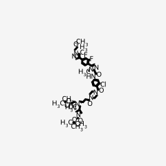 COCCn1ncc(-c2ccc(-c3cnc(C(=O)Nc4ccc(C(=O)N5CCN(C(=O)CCC[N+](C)(CC(=O)OC(C)(C)C)CC6CN(C(=O)OC(C)(C)C)C6)CC5)c(Cl)c4)n3C)c(F)c2F)c1C